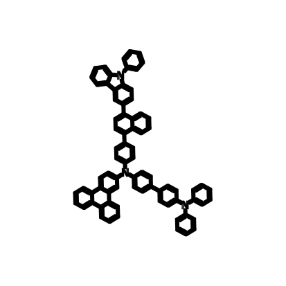 c1ccc(N(c2ccccc2)c2ccc(-c3ccc(N(c4ccc(-c5ccc(-c6ccc7c(c6)c6ccccc6n7-c6ccccc6)c6ccccc56)cc4)c4ccc5c6ccccc6c6ccccc6c5c4)cc3)cc2)cc1